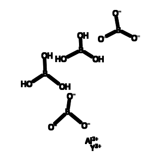 OB(O)O.OB(O)O.[Al+3].[O-]B([O-])[O-].[O-]B([O-])[O-].[Y+3]